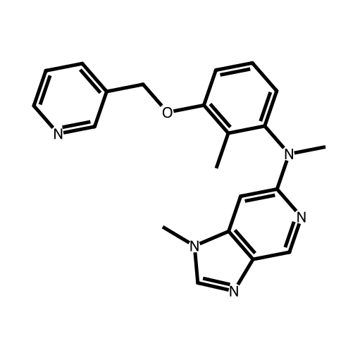 Cc1c(OCc2cccnc2)cccc1N(C)c1cc2c(cn1)ncn2C